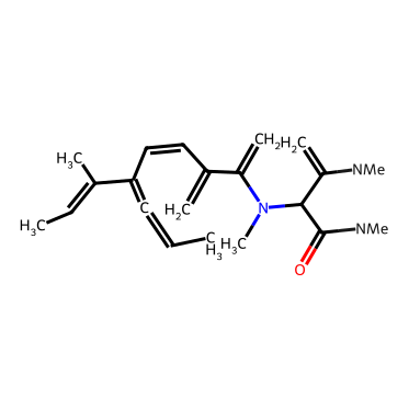 C=C(/C=C\C(=C=CC)/C(C)=C/C)C(=C)N(C)C(C(=C)NC)C(=O)NC